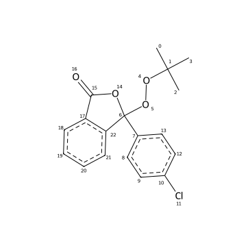 CC(C)(C)OOC1(c2ccc(Cl)cc2)OC(=O)c2ccccc21